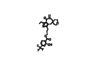 CCn1nc(CCCOC(=O)c2ccc(C(F)(F)F)cc2O)c2c1C(=O)NCC1(CCOCC1)C2